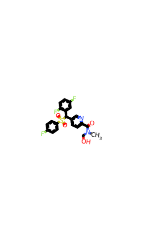 CN(CO)C(=O)c1ccc(C(c2cc(F)ccc2F)S(=O)(=O)c2ccc(F)cc2)cn1